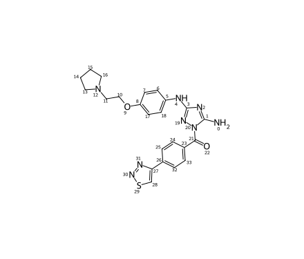 Nc1nc(Nc2ccc(OCCN3CCCC3)cc2)nn1C(=O)c1ccc(-c2csnn2)cc1